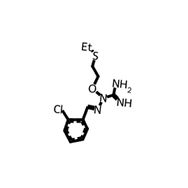 CCSCCON(/N=C/c1ccccc1Cl)C(=N)N